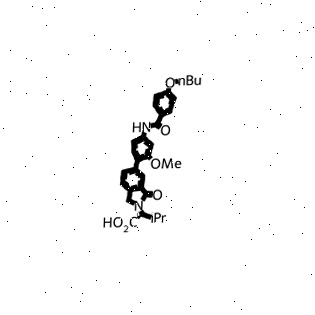 CCCCOc1ccc(C(=O)Nc2ccc(-c3ccc4c(c3)C(=O)N([C@H](C(=O)O)C(C)C)C4)c(OC)c2)cc1